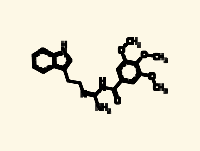 COc1cc(C(=O)NC(N)=NCCc2c[nH]c3ccccc23)cc(OC)c1OC